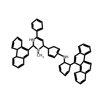 CN1C(C2=C3C=CC=CC3C3C=CC=CC3=C2)NC(c2ccccc2)=CC1C1C=CC(NC2C=CC=CC2c2cc3ccccc3c3ccc4ccccc4c23)=CC1